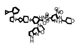 O=C(NS(=O)(=O)c1cnc(NCC2CCOCC2)c([N+](=O)[O-])c1)c1ccc(N2CCC3(CC2)CC(N2CCC[C@H]2c2ccccc2C2CC2)C3)cc1N1CCOc2nc3[nH]ccc3cc21